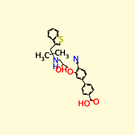 CC(C)(Cc1csc2ccccc12)NCC(O)COc1cc(-c2ccc(C(=O)O)cc2)ccc1C#N